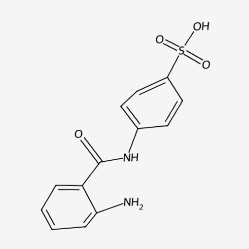 Nc1ccccc1C(=O)Nc1ccc(S(=O)(=O)O)cc1